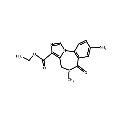 CCOC(=O)c1ncn2c1CN(C)C(=O)c1cc(N)ccc1-2